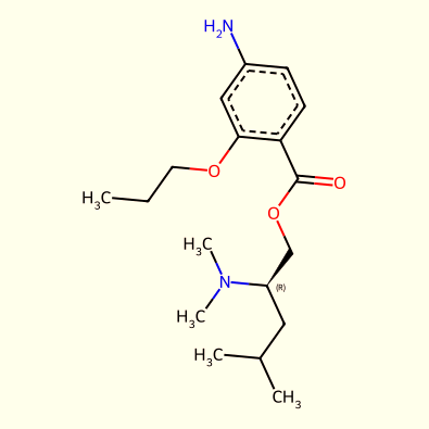 CCCOc1cc(N)ccc1C(=O)OC[C@@H](CC(C)C)N(C)C